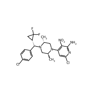 C[C@@H]1CN(c2cc(Cl)nc(N)c2[N+](=O)[O-])[C@@H](C)CN1C(c1ccc(Cl)cc1)[C@@H]1CC1(F)F